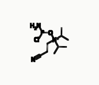 CC(C)[N+](CCC#N)(OP(N)Cl)C(C)C